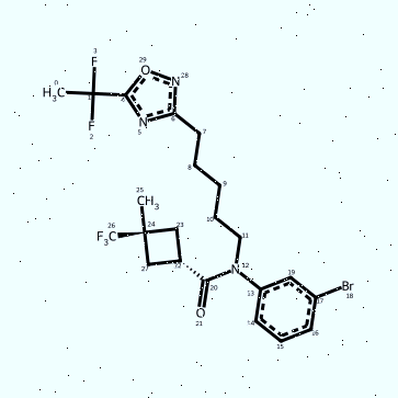 CC(F)(F)c1nc(CCCCCN(c2cccc(Br)c2)C(=O)[C@H]2C[C@](C)(C(F)(F)F)C2)no1